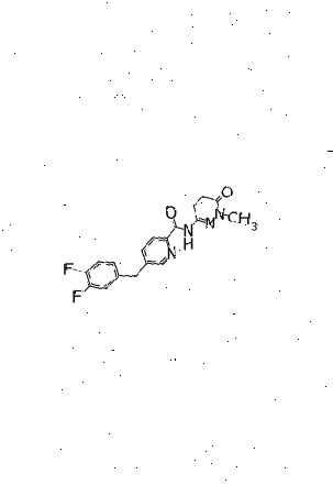 CN1N=C(NC(=O)c2ccc(Cc3ccc(F)c(F)c3)cn2)CCC1=O